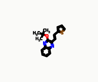 CC(C)(C)Oc1nc2ccccc2nc1/C=C/c1cccs1